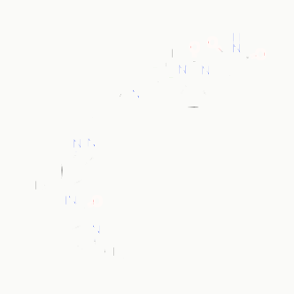 Cc1cc2nn([C@H]3CC[C@H](CN4CCC(c5cccc6c5n(C)c(=O)n6C5CCC(=O)NC5=O)C(F)(F)C4)CC3)cc2cc1NC(=O)c1cccc(C(F)(F)F)n1